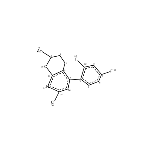 CC(=O)C1CCc2c(-c3ccc(F)cc3F)cc(Cl)nc2O1